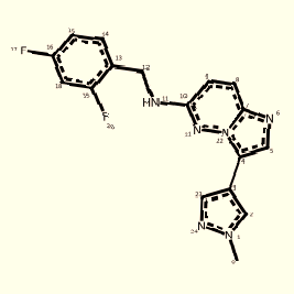 Cn1cc(-c2cnc3ccc(NCc4ccc(F)cc4F)nn23)cn1